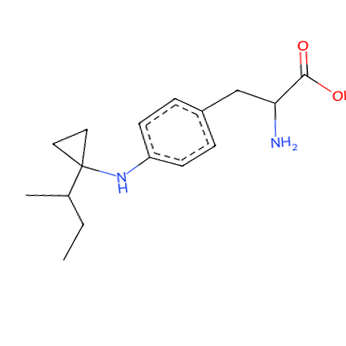 CCC(C)C1(Nc2ccc(CC(N)C(=O)O)cc2)CC1